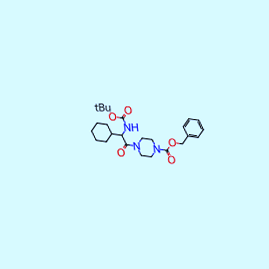 CC(C)(C)OC(=O)NC(C(=O)N1CCN(C(=O)OCc2ccccc2)CC1)C1CCCCC1